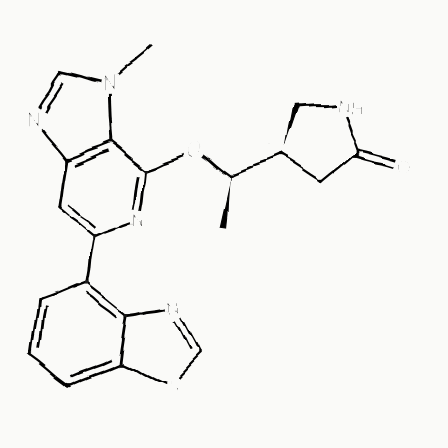 C[C@@H](Oc1nc(-c2cccc3scnc23)cc2ncn(C)c12)[C@H]1CNC(=O)C1